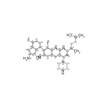 CN(C)CCN(C)c1nc(N2CCNCC2)c2cc3cc(Cl)c(-c4ccc(F)c5sc(N)c(C#N)c45)c(F)c3nc2n1